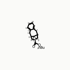 CCCCOC(=O)N1CC2Cc3ccccc3CC(C1)C2C